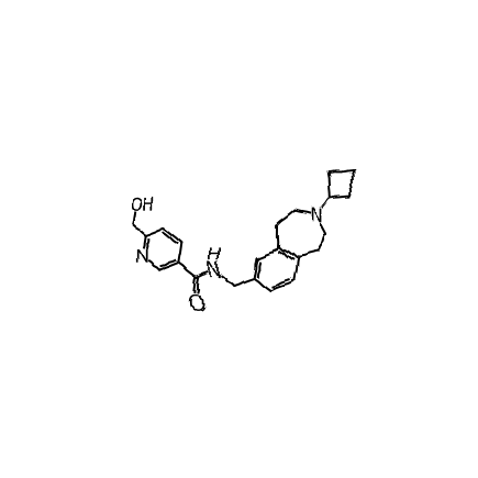 O=C(NCc1ccc2c(c1)CCN(C1CCC1)CC2)c1ccc(CO)nc1